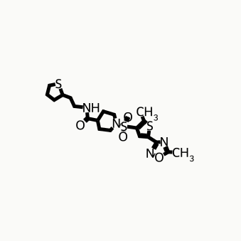 Cc1nc(-c2cc(S(=O)(=O)N3CCC(C(=O)NCCC4CCCS4)CC3)c(C)s2)no1